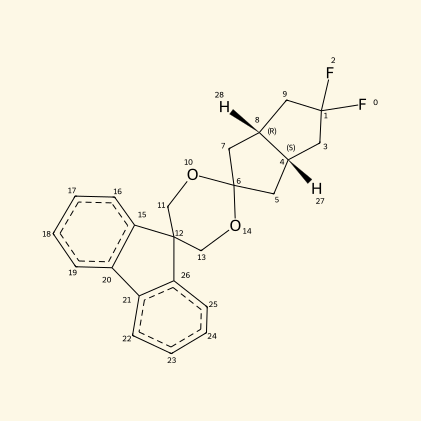 FC1(F)C[C@@H]2CC3(C[C@@H]2C1)OCC1(CO3)c2ccccc2-c2ccccc21